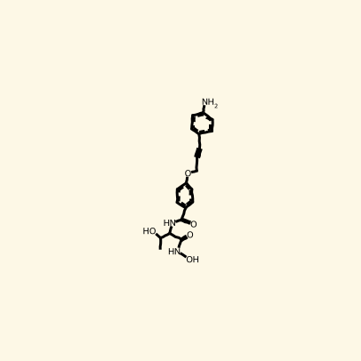 CC(O)C(NC(=O)c1ccc(OCC#Cc2ccc(N)cc2)cc1)C(=O)NO